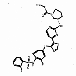 CC(C)(C)OC(=O)N1CCC[C@H](Nc2nccc(-c3scnc3Oc3ccc(NS(=O)(=O)c4ccccc4Cl)c(F)c3)n2)C1